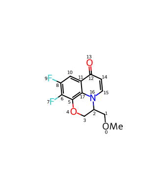 COCC1COc2c(F)c(F)cc3c(=O)ccn1c23